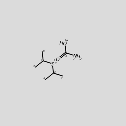 CC(C)SC(C)C.NC(=O)O